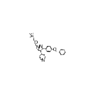 C[Si](C)(C)CCOCn1cc(-c2ccncc2)c(-c2ccc(OCc3ccccc3)cc2)n1